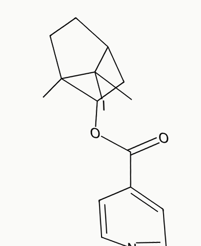 CC1(I)C2CCC1(C)C(OC(=O)c1ccncc1)C2